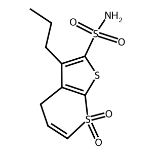 CCCc1c(S(N)(=O)=O)sc2c1CC=CS2(=O)=O